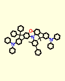 Cc1cc(-c2ccccc2)ccc1N1c2cc3c(cc2Oc2ccc4c(c21)C(C)(C)c1cc(N(c2ccccc2)c2ccccc2)ccc1-4)C(c1ccccc1)(c1ccccc1)c1cc(N(c2ccccc2)c2ccccc2)ccc1-3